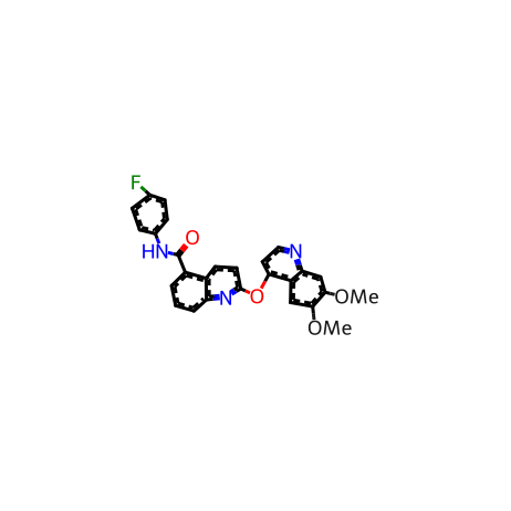 COc1cc2nccc(Oc3ccc4c(C(=O)Nc5ccc(F)cc5)cccc4n3)c2cc1OC